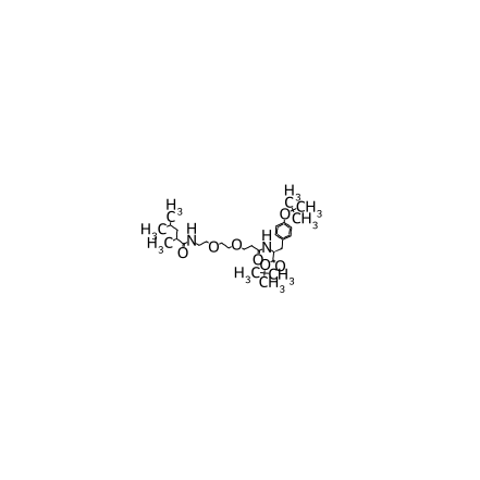 CC(C)C[C@H](C)C(=O)NCCOCCOCCC(=O)N[C@@H](Cc1ccc(OC(C)(C)C)cc1)C(=O)OC(C)(C)C